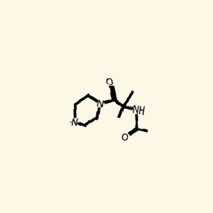 CC(=O)NC(C)(C)C(=O)N1CC[N]CC1